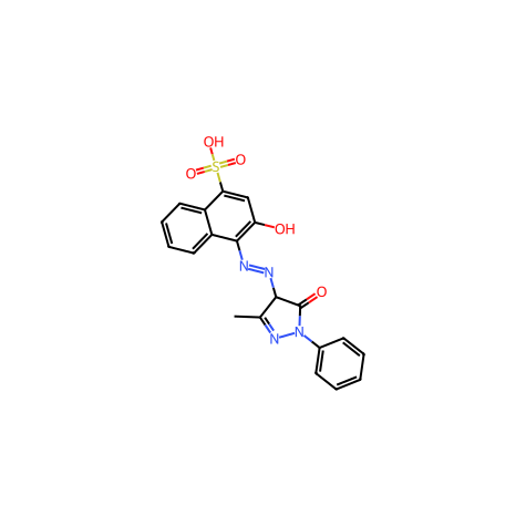 CC1=NN(c2ccccc2)C(=O)C1N=Nc1c(O)cc(S(=O)(=O)O)c2ccccc12